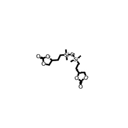 C[Si](C)(CCC1COC(=O)O1)O[Si](C)(C)CCC1COC(=O)O1